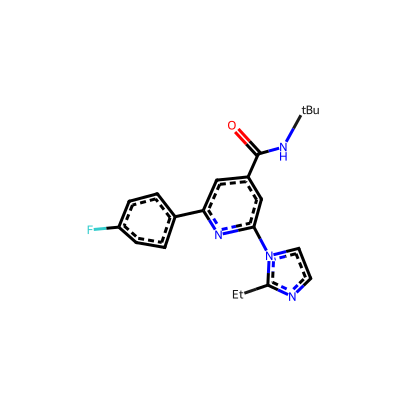 CCc1nccn1-c1cc(C(=O)NC(C)(C)C)cc(-c2ccc(F)cc2)n1